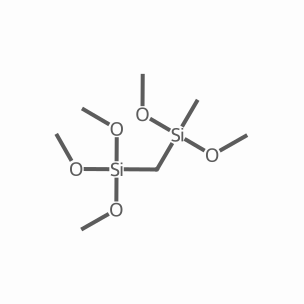 CO[Si](C)(C[Si](OC)(OC)OC)OC